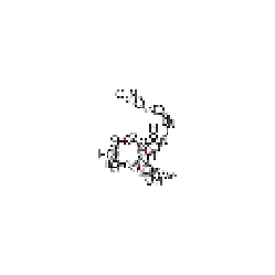 CC[C@H]1OC(=O)[C@H](C)[C@@H](O[C@H]2C[C@@](C)(OC)[C@@H](O)[C@H](C)O2)[C@H](C)[C@@H](O[C@@H]2O[C@H](C)C[C@H](N(C)CCc3cn([C@H]4CCCN(Cc5ccc([N+](=O)[O-])cc5)C4)nn3)[C@H]2O)[C@@]2(C)C[C@@H](CO2)C(=O)[C@H](C)[C@@H](O)[C@]1(C)O